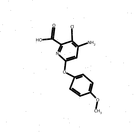 COc1ccc(Oc2cc(N)c(Cl)c(C(=O)O)n2)cc1